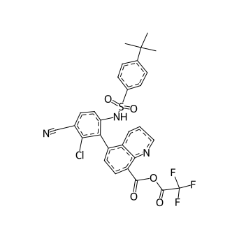 CC(C)(C)c1ccc(S(=O)(=O)Nc2ccc(C#N)c(Cl)c2-c2ccc(C(=O)OC(=O)C(F)(F)F)c3ncccc23)cc1